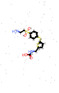 NCCS(=O)(=O)c1ccc(Sc2ccc(CNC(=O)O)s2)cc1